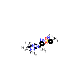 C=CN/C(=C\C)C(=C)N1CCN(C(=C)c2ccc(NS(=O)(=O)c3cccc(C)c3N=C)cc2)CC1